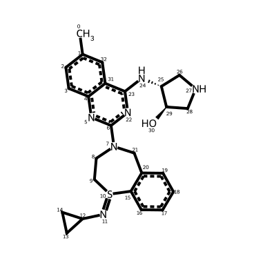 Cc1ccc2nc(N3CCS(=NC4CC4)c4ccccc4C3)nc(N[C@@H]3CNC[C@H]3O)c2c1